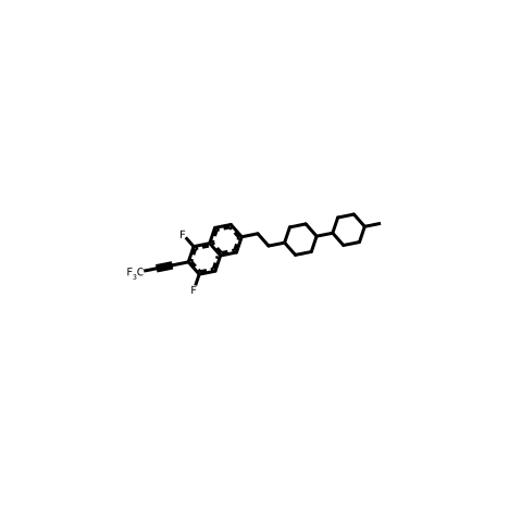 CC1CCC(C2CCC(CCc3ccc4c(F)c(C#CC(F)(F)F)c(F)cc4c3)CC2)CC1